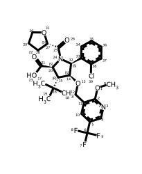 COc1ncc(C(F)(F)F)cc1CO[C@H]1[C@H](C(C)(C)C)[C@@H](C(=O)O)N(C(=O)[C@@H]2CCCO2)[C@H]1c1ccccc1Cl